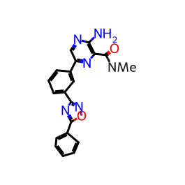 CNC(=O)c1nc(-c2cccc(-c3noc(-c4ccccc4)n3)c2)cnc1N